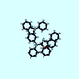 c1ccc(-c2ccccc2N(c2ccc3c4ccccc4n(-c4ccccc4)c3c2)c2nc3c(ccc4ccccc43)o2)cc1